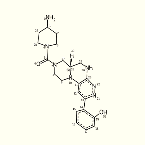 NC1CCN(C(=O)N2CCN3c4cc(-c5ccccc5O)nnc4NC[C@H]3C2)CC1